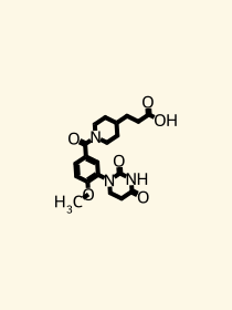 COc1ccc(C(=O)N2CCC(CCC(=O)O)CC2)cc1N1CCC(=O)NC1=O